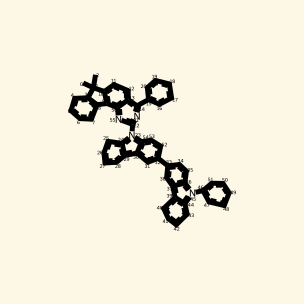 CC1(C)c2ccccc2-c2c1ccc1c(-c3ccccc3)nc(-n3c4ccccc4c4cc(-c5ccc6c(c5)c5ccccc5n6-c5ccccc5)ccc43)nc21